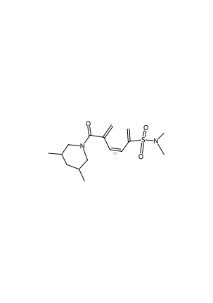 C=C(/C=C\C(=C)S(=O)(=O)N(C)C)C(=O)N1CC(C)CC(C)C1